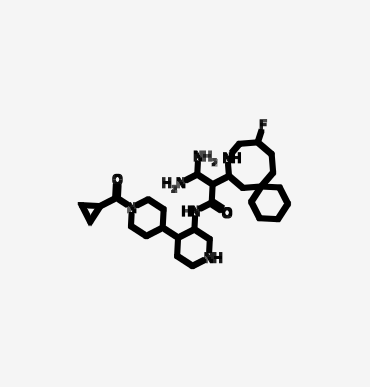 NC(N)C(C(=O)NC1CNCCC1C1CCN(C(=O)C2CC2)CC1)C1CC2(CCCCC2)CCC(F)CN1